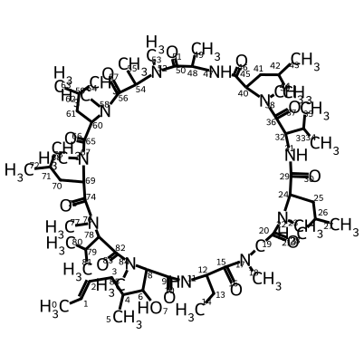 C/C=C/CC(C)C(O)C1C(=O)NC(CC)C(=O)N(C)CC(=O)N(C)C(CC(C)C)C(=O)NC(C(C)C)C(=O)N(C)C(CC(C)C)C(=O)NC(C)C(=O)N(C)C(C)C(=O)N(C)C(CC(C)C)C(=O)N(C)C(CC(C)C)C(=O)N(C)C(C(C)C)C(=O)N1C